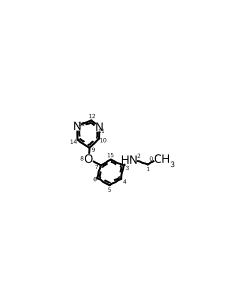 CCNc1cccc(Oc2cncnc2)c1